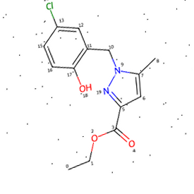 CCOC(=O)c1cc(C)n(Cc2cc(Cl)ccc2O)n1